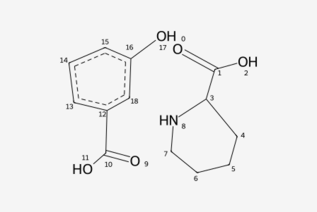 O=C(O)C1CCCCN1.O=C(O)c1cccc(O)c1